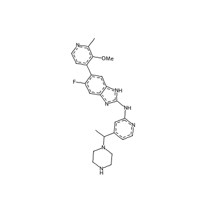 COc1c(-c2cc3[nH]c(Nc4cc(C(C)N5CCNCC5)ccn4)nc3cc2F)ccnc1C